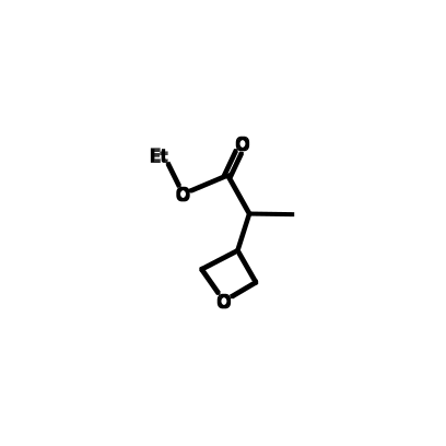 CCOC(=O)C(C)C1COC1